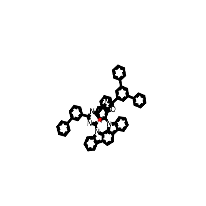 c1ccc(-c2cccc(-c3nc(-c4ccccc4)nc(-n4c5ccccc5c5ccc6c7ccccc7n(-c7cccc8nc(-c9cc(-c%10ccccc%10)cc(-c%10ccccc%10)c9)oc78)c6c54)n3)c2)cc1